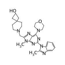 Cc1nc2ccccc2n1-c1nc(N2CCOCC2)c2nc(CN3CCC4(CC3)CC(O)C4)n(C)c2n1